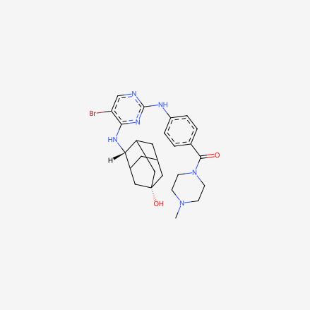 CN1CCN(C(=O)c2ccc(Nc3ncc(Br)c(N[C@H]4C5CC6CC4C[C@@](O)(C6)C5)n3)cc2)CC1